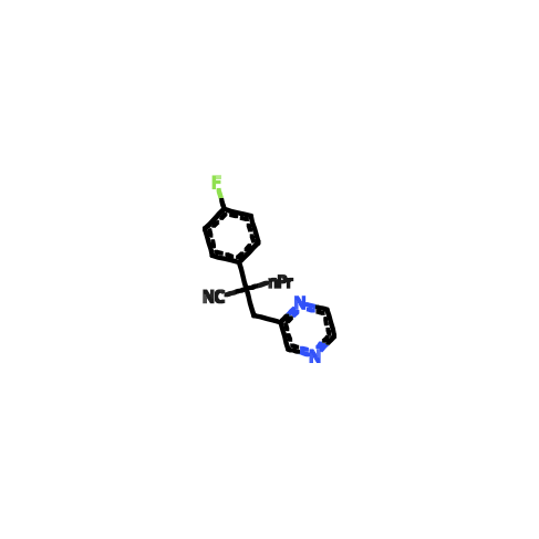 CCCC(C#N)(Cc1cnccn1)c1ccc(F)cc1